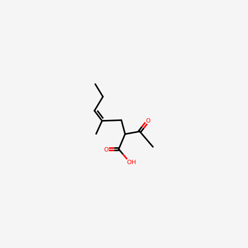 CCC=C(C)CC(C(C)=O)C(=O)O